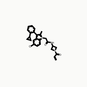 C=CC(=O)N1CC(NC(=O)Cn2c(C)c(-c3ccccc3C3CC3)c3cc(Cl)ccc32)C1